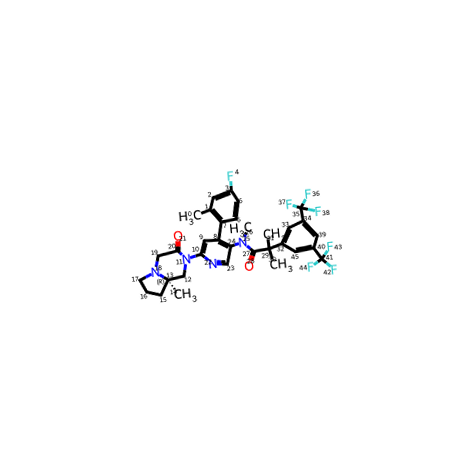 Cc1cc(F)ccc1-c1cc(N2C[C@@]3(C)CCCN3CC2=O)ncc1N(C)C(=O)C(C)(C)c1cc(C(F)(F)F)cc(C(F)(F)F)c1